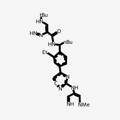 CCCCC(NC(=O)/C(=C/NC(C)(C)C)N=N)c1ccc(-c2ccnc(N/C(C=N)=C/NC)n2)cc1CC